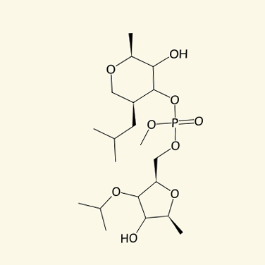 COP(=O)(OC[C@H]1O[C@@H](C)C(O)C1OC(C)C)OC1C(O)[C@H](C)OC[C@@H]1CC(C)C